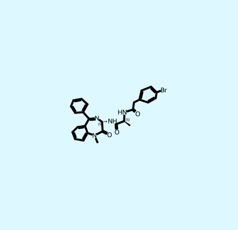 C[C@H](NC(=O)Cc1ccc(Br)cc1)C(=O)N[C@H]1N=C(c2ccccc2)c2ccccc2N(C)C1=O